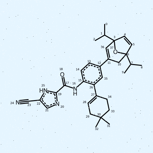 CC(C)C12C=CC(C(C)C)(CC(c3ccc(NC(=O)c4ncc(C#N)[nH]4)c(C4=CCC(C)(C)CC4)c3)=C1)O2